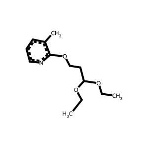 CCOC(CCOc1ncccc1C)OCC